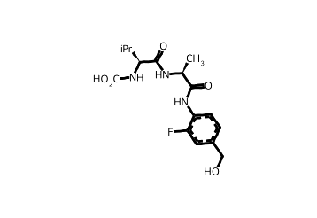 CC(C)[C@H](NC(=O)O)C(=O)N[C@@H](C)C(=O)Nc1ccc(CO)cc1F